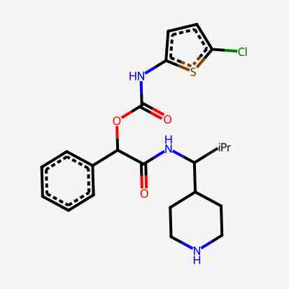 CC(C)C(NC(=O)C(OC(=O)Nc1ccc(Cl)s1)c1ccccc1)C1CCNCC1